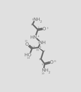 NCC(=O)NN[C@@H](CCC(N)=O)C(=O)O